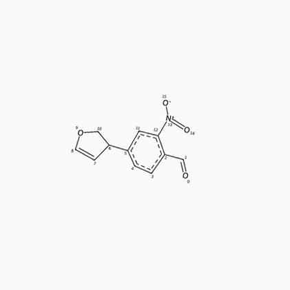 O=Cc1ccc(C2C=COC2)cc1[N+](=O)[O-]